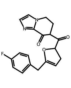 O=C1c2nccn2CCC1C(=O)C1CC=C(Cc2ccc(F)cc2)O1